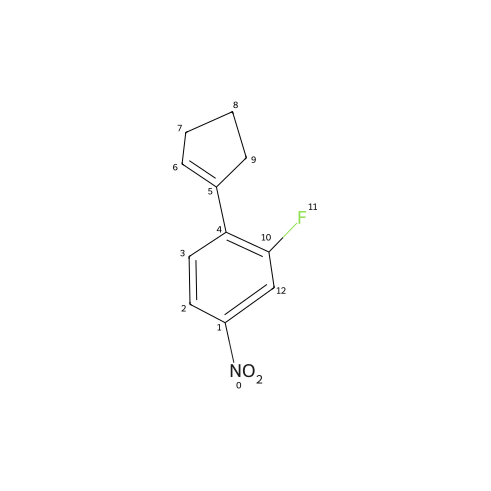 O=[N+]([O-])c1ccc(C2=CCCC2)c(F)c1